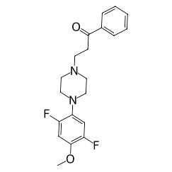 COc1cc(F)c(N2CCN(CCC(=O)c3ccccc3)CC2)cc1F